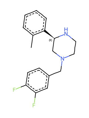 Cc1ccccc1[C@@H]1CN(Cc2ccc(F)c(F)c2)CCN1